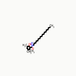 CCCCCCCCCCCCCCCCCCNC(=O)c1c(C)c(C)cc(C)c1OI